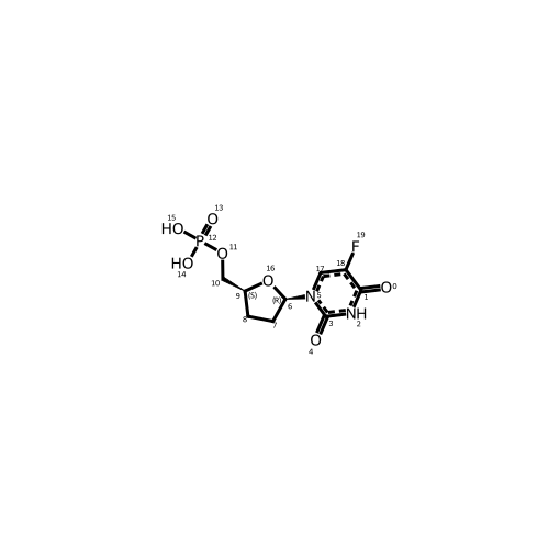 O=c1[nH]c(=O)n([C@H]2CC[C@@H](COP(=O)(O)O)O2)cc1F